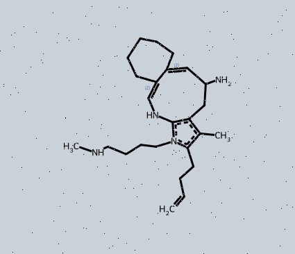 C=CCCc1c(C)c2c(n1CCCCNC)N/C=C1/CCCCC/C1=C/C(N)C2